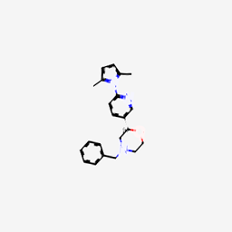 Cc1ccc(C)n1-c1ccc([C@@H]2CN(Cc3ccccc3)CCO2)cn1